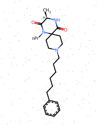 CCCN1C(=O)[C@@H](C)NC(=O)C12CCN(CCCCCCc1ccccc1)CC2